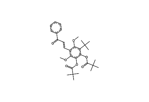 COc1c(C=CC(=O)c2ccccc2)c(OC)c(C(C)(C)C)c(OC(=O)C(C)(C)C)c1OC(=O)C(C)(C)C